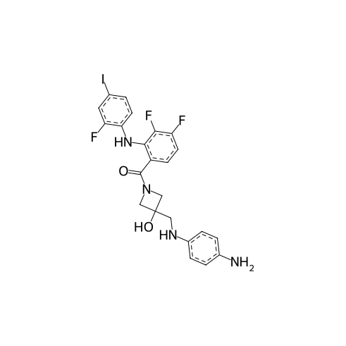 Nc1ccc(NCC2(O)CN(C(=O)c3ccc(F)c(F)c3Nc3ccc(I)cc3F)C2)cc1